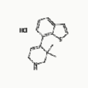 CC1(C)CNCC=C1c1cccc2ccsc12.Cl